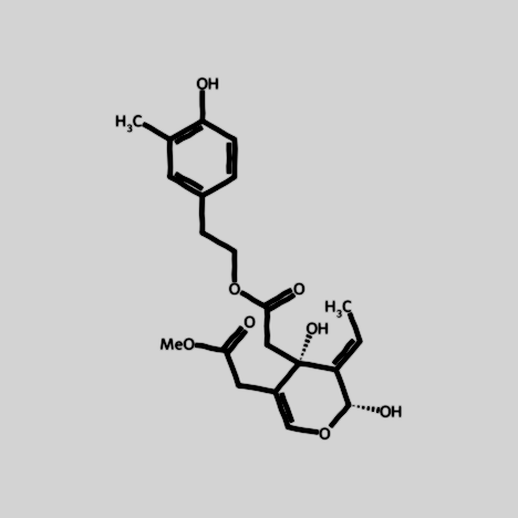 C/C=C1/[C@H](O)OC=C(CC(=O)OC)[C@@]1(O)CC(=O)OCCc1ccc(O)c(C)c1